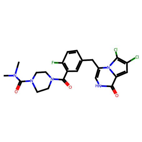 CN(C)C(=O)N1CCN(C(=O)c2cc(Cc3c[nH]c(=O)c4cc(Cl)c(Cl)n34)ccc2F)CC1